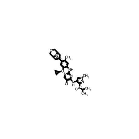 Cc1cc(Nc2ncc(Cl)c(Nc3cn(C)nc3[S+]([O-])C(C)C)n2)c(OC2CC2)cc1C1CC2COCC(C1)N2C